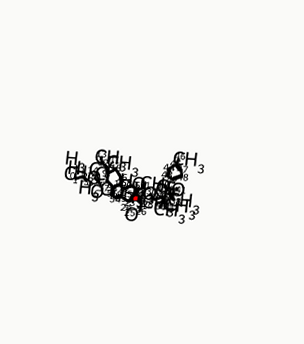 CCCCOC(=O)[C@@H]1[C@@](C)([C@H](C)C(C)C)CC[C@]2(C)[C@H]3CC[C@@H]4[C@@]5(COC[C@]4(C)[C@@H](OC[C@@](C)(C(C)C)N(C)S(=O)(=O)c4ccc(C)cc4)[C@H](OC)C5)C3=CC[C@@]12C